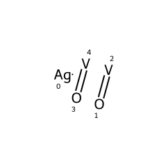 [Ag].[O]=[V].[O]=[V]